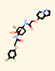 O=C(COc1ccn2nccc2c1)NC12CCC(NC(=O)COc3ccc(Cl)c(F)c3)(CC1)[C@@H](O)C2